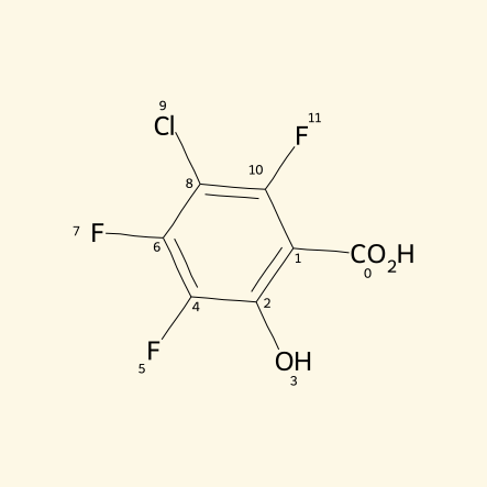 O=C(O)c1c(O)c(F)c(F)c(Cl)c1F